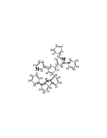 c1ccc(-c2cc(-c3cc(-c4cccnc4)cc(-c4cccc5c4sc4c(-c6ccccc6)cccc45)c3)cc(-c3ccccc3)n2)cc1